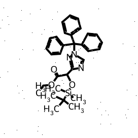 CCOC(=O)C(O[Si](C)(C)C(C)(C)C)c1ncn(C(c2ccccc2)(c2ccccc2)c2ccccc2)n1